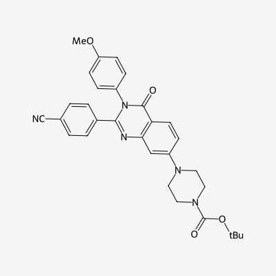 COc1ccc(-n2c(-c3ccc(C#N)cc3)nc3cc(N4CCN(C(=O)OC(C)(C)C)CC4)ccc3c2=O)cc1